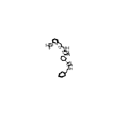 O=C(Cc1cccc(N2CC(F)(F)C2)n1)Nc1nnc([C@H]2CCC[C@H](c3nnc(NCCc4ccccc4)s3)C2)s1